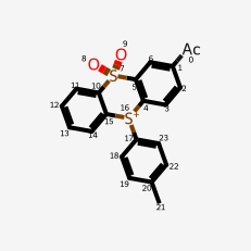 CC(=O)c1ccc2c(c1)S(=O)(=O)c1ccccc1[S+]2c1ccc(C)cc1